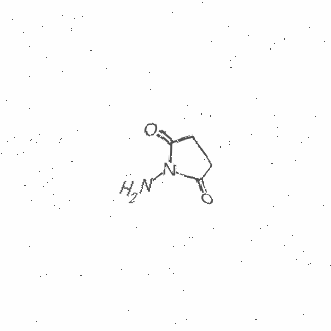 NN1C(=O)CCC1=O